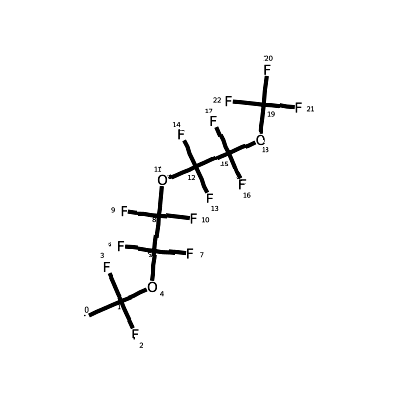 [CH2]C(F)(F)OC(F)(F)C(F)(F)OC(F)(F)C(F)(F)OC(F)(F)F